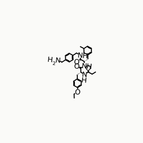 CCOc1ccc(C[C@@H](NC(=O)CC)C(=O)N[C@@H](CC2=CC=CC(C)C2)C(=O)NCc2ccc(CN)cc2)cc1